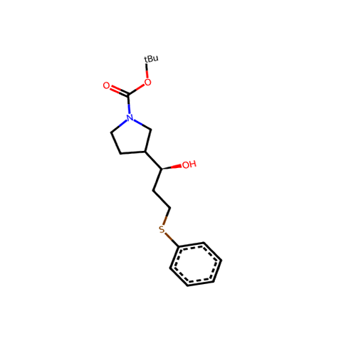 CC(C)(C)OC(=O)N1CCC([C@@H](O)CCSc2ccccc2)C1